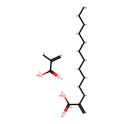 C=C(C)C(=O)O.C=C(CCCCCCCCCCC)C(=O)O